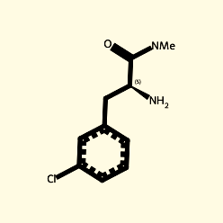 CNC(=O)[C@@H](N)Cc1cccc(Cl)c1